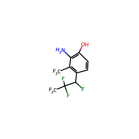 Nc1c(O)ccc(C(F)C(F)(F)C(F)(F)F)c1C(F)(F)F